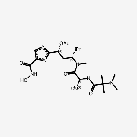 CC[C@H](C)[C@H](NC(=O)C(C)(C)N(C)C)C(=O)N(C)[C@H](C[C@@H](OC(C)=O)c1nc(C(=O)NO)cs1)C(C)C